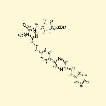 CCn1c(CCCc2ccc(-c3cnc(NCc4ccccc4)cn3)cc2)nn(Cc2ccc(C(C)(C)C)cc2)c1=O